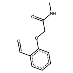 CNC(=O)COc1ccccc1C=O